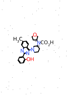 Cc1ccc2c(N3CCC[C@H](N(C(=O)O)[C@H]4CCOC4)C3)nc(-c3ccccc3O)nc2c1